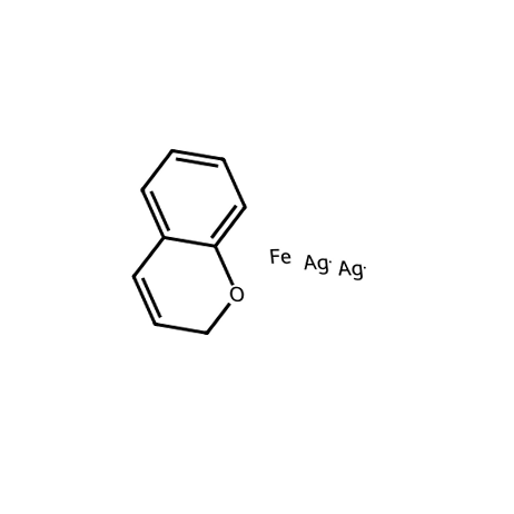 C1=Cc2ccccc2OC1.[Ag].[Ag].[Fe]